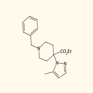 CCOC(=O)C1(n2nccc2C)CCN(Cc2ccccc2)CC1